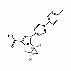 Cc1ccc(-c2ccc(-n3nc(C(=O)O)c4c3[C@H]3C[C@H]3C4)nc2)cn1